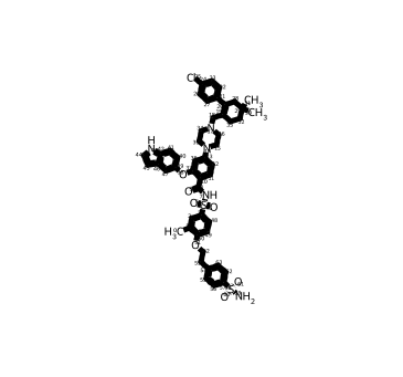 Cc1cc(S(=O)(=O)NC(=O)c2ccc(N3CCN(CC4=C(c5ccc(Cl)cc5)CC(C)(C)CC4)CC3)cc2Oc2ccc3[nH]ccc3c2)ccc1OCCc1ccc(S(N)(=O)=O)cc1